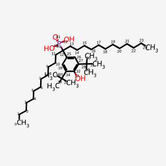 CCCCCCCCCCCCC(CCCCCCCCCCCC)(c1cc(C(C)(C)C)c(O)c(C(C)(C)C)c1)P(=O)(O)O